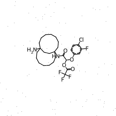 NC12CCCCCCCC(NC(=O)C(OC(=O)C(F)(F)F)Oc3ccc(Cl)c(F)c3)(CCCCCCC1)CC2